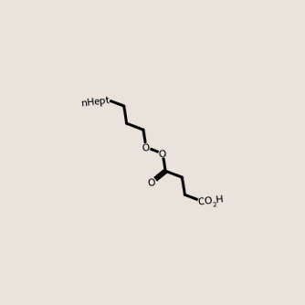 CCCCCCCCCCOOC(=O)CCC(=O)O